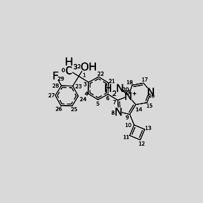 CC(O)(c1ccc(C2=NC(C3=CC=C3)=C3C=NC=C[N+]23N)cc1)c1ccccc1F